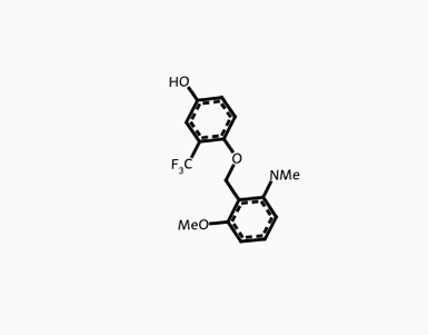 CNc1cccc(OC)c1COc1ccc(O)cc1C(F)(F)F